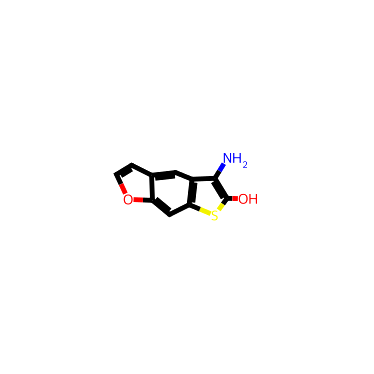 Nc1c(O)sc2cc3occc3cc12